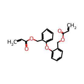 C=CC(=O)OCc1ccccc1Oc1ccccc1COC(=O)C=C